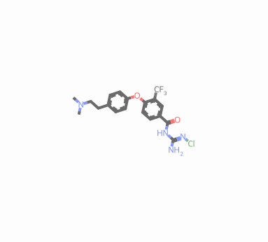 CN(C)CCc1ccc(Oc2ccc(C(=O)NC(N)=NCl)cc2C(F)(F)F)cc1